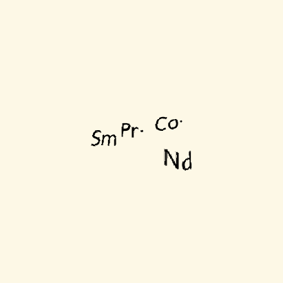 [Co].[Nd].[Pr].[Sm]